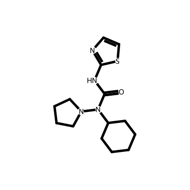 O=C(Nc1nccs1)N(C1CCCCC1)N1CCCC1